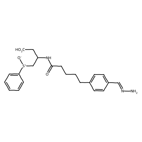 NN=Cc1ccc(CCCCC(=O)NC(CC(=O)O)C[S+]([O-])c2ccccc2)cc1